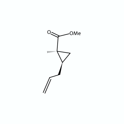 C=CC[C@@H]1C[C@]1(C)C(=O)OC